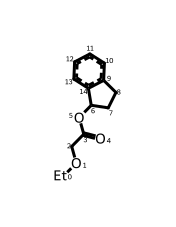 CCOCC(=O)OC1CCc2ccccc21